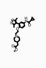 COC(=O)CC1CCN(CCOc2ccc(NC(=O)C3CC3)cc2-c2c(C)noc2C)CC1